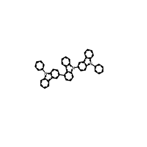 c1ccc(-n2c3ccccc3c3cc(-c4cccc5c4c4ccccc4n5-c4ccc5c(c4)c4ccccc4n5-c4ccccc4)ccc32)cc1